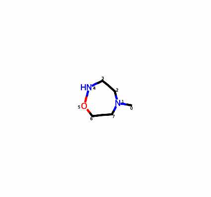 CN1CCNOCC1